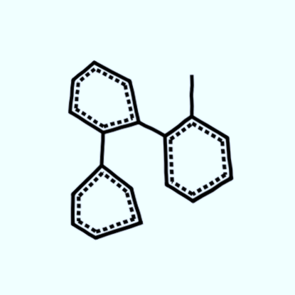 Cc1ccccc1-c1ccccc1-c1ccccc1